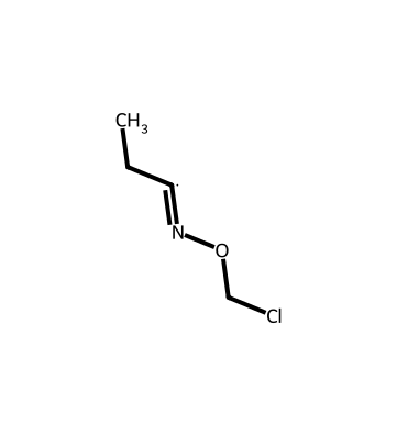 CC/[C]=N/OCCl